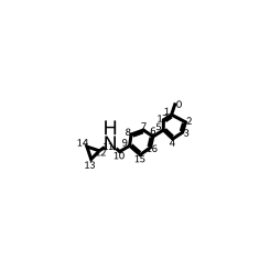 Cc1cccc(-c2ccc(CNC3CC3)cc2)c1